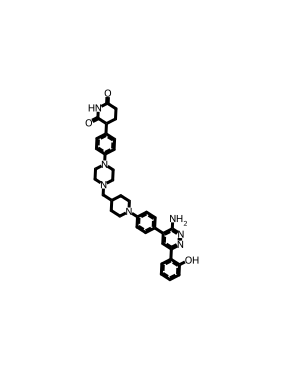 Nc1nnc(-c2ccccc2O)cc1-c1ccc(N2CCC(CN3CCN(c4ccc(C5CCC(=O)NC5=O)cc4)CC3)CC2)cc1